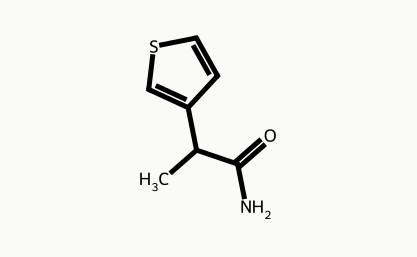 CC(C(N)=O)c1ccsc1